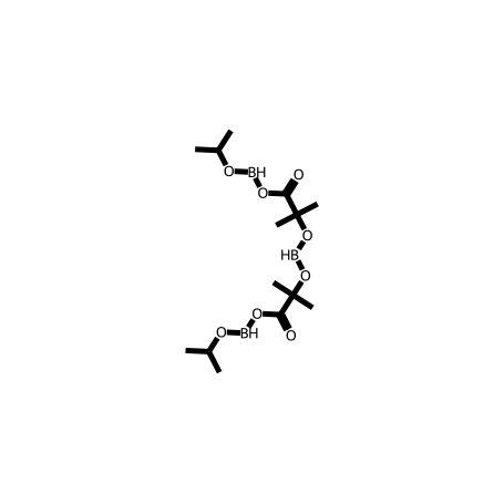 CC(C)OBOC(=O)C(C)(C)OBOC(C)(C)C(=O)OBOC(C)C